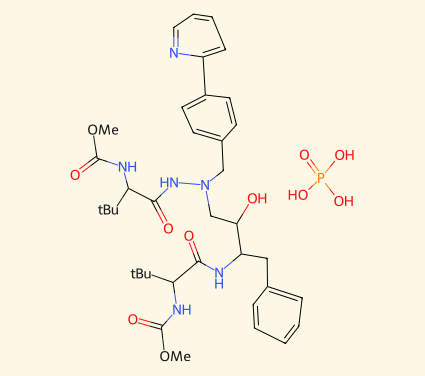 COC(=O)NC(C(=O)NC(Cc1ccccc1)C(O)CN(Cc1ccc(-c2ccccn2)cc1)NC(=O)C(NC(=O)OC)C(C)(C)C)C(C)(C)C.O=P(O)(O)O